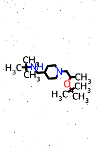 CC(CN1CCC(CNC(C)(C)C)CC1)OC(C)(C)C